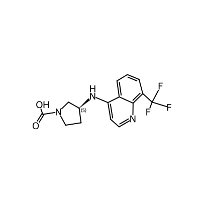 O=C(O)N1CC[C@H](Nc2ccnc3c(C(F)(F)F)cccc23)C1